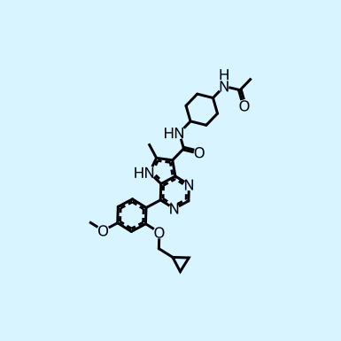 COc1ccc(-c2ncnc3c(C(=O)NC4CCC(NC(C)=O)CC4)c(C)[nH]c23)c(OCC2CC2)c1